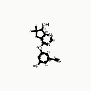 CC1(C)Cc2c(Oc3cc(F)cc(C#N)c3)ncnc2C1O